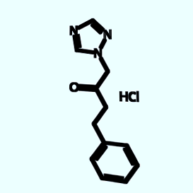 Cl.O=C(CCc1ccccc1)Cn1cncn1